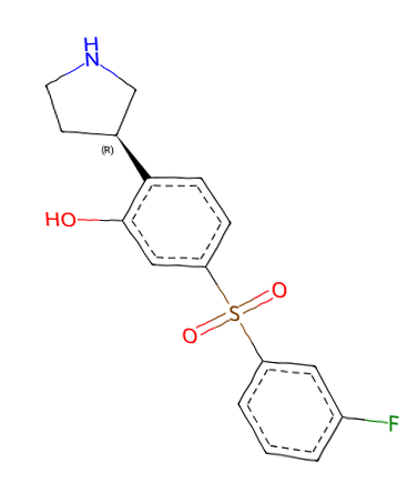 O=S(=O)(c1cccc(F)c1)c1ccc([C@H]2CCNC2)c(O)c1